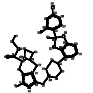 CCOC(=O)CCc1c(C)nc(CN2CCC(c3cccc4c3OC(C)(c3ccc(Cl)cc3F)O4)CC2)n1CC1CCO1